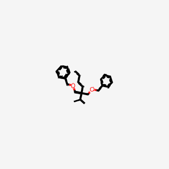 CCCCC(COCc1ccccc1)(COCc1ccccc1)C(C)C